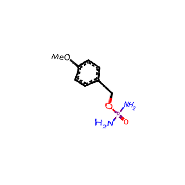 COc1ccc(COP(N)(N)=O)cc1